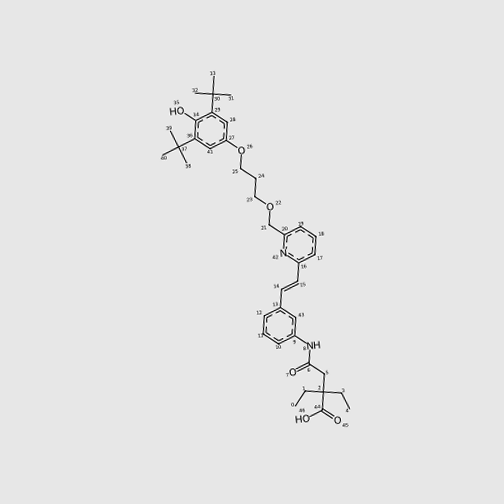 CCC(CC)(CC(=O)Nc1cccc(C=Cc2cccc(COCCCOc3cc(C(C)(C)C)c(O)c(C(C)(C)C)c3)n2)c1)C(=O)O